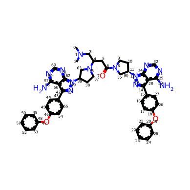 CN(C)CC(CC(=O)N1CC[C@@H](n2nc(-c3ccc(Oc4ccccc4)cc3)c3c(N)ncnc32)C1)N1CCC(n2nc(-c3ccc(Oc4ccccc4)cc3)c3c(N)ncnc32)C1